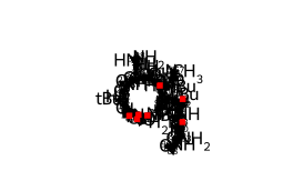 CC[C@H](C)[C@@H]1NC(=O)[C@@H]2CCCN2C(=O)[C@@H]2CCCN2C(=O)[C@H](CC(C)(C)C)NC(=O)[C@H](CO)NC(=O)[C@H](CCCNC(=N)N)NC(=O)[C@H](CO)NC(=O)[C@@H](NC(=O)[C@H](NC(=O)[C@H](C)N)[C@@H](C)CC)SS[C@@H](C(=O)N[C@H](C(=O)N2CCC[C@H]2C(=O)N[C@@H](Cc2cn([C@H](N)C(=O)NC3CC3=O)nn2)C(N)=O)[C@@H](C)CC)NC1=O